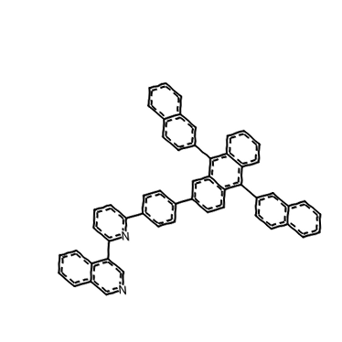 c1cc(-c2ccc(-c3ccc4c(-c5ccc6ccccc6c5)c5ccccc5c(-c5ccc6ccccc6c5)c4c3)cc2)nc(-c2cncc3ccccc23)c1